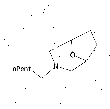 [CH2]CCCCCN1CC2CCC(C1)O2